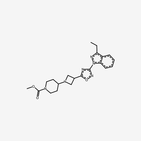 CCc1nn(-c2noc(C3CN(C4CCN(C(=O)OC)CC4)C3)n2)c2ccccc12